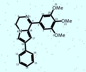 COc1cc(C2=NCCn3cc(-c4ccccc4)cc32)cc(OC)c1OC